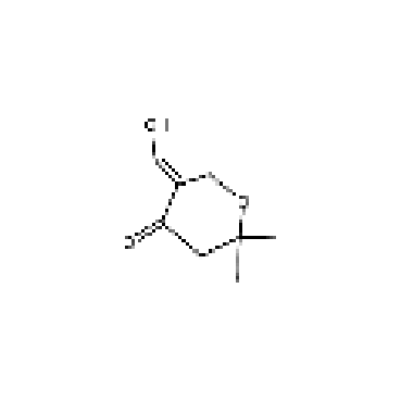 CC1(C)CC(=O)C(=CO)CO1